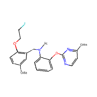 COc1ccc(OCCF)c(CN(C(C)=O)c2ccccc2Oc2nccc(OC)n2)c1